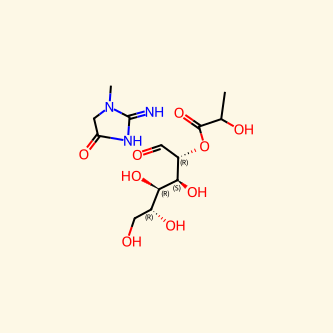 CC(O)C(=O)O[C@@H](C=O)[C@@H](O)[C@H](O)[C@H](O)CO.CN1CC(=O)NC1=N